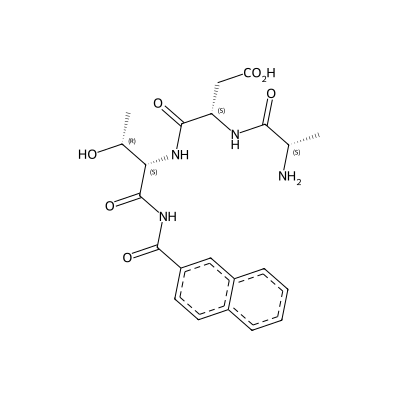 C[C@H](N)C(=O)N[C@@H](CC(=O)O)C(=O)N[C@H](C(=O)NC(=O)c1ccc2ccccc2c1)[C@@H](C)O